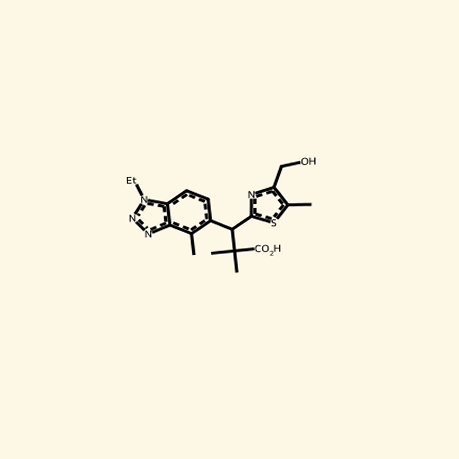 CCn1nnc2c(C)c(C(c3nc(CO)c(C)s3)C(C)(C)C(=O)O)ccc21